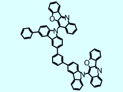 c1ccc(-c2ccc3c(c2)c2cc(-c4cccc(-c5ccc6c(c5)c5ccccc5n6-c5c6ccccc6nc6c5oc5ccccc56)c4)ccc2n3-c2c3ccccc3nc3c2oc2ccccc23)cc1